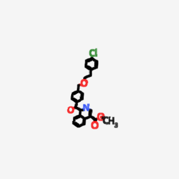 COC(=O)c1cnc(C(=O)c2ccc(COCCc3ccc(Cl)cc3)cc2)c2ccccc12